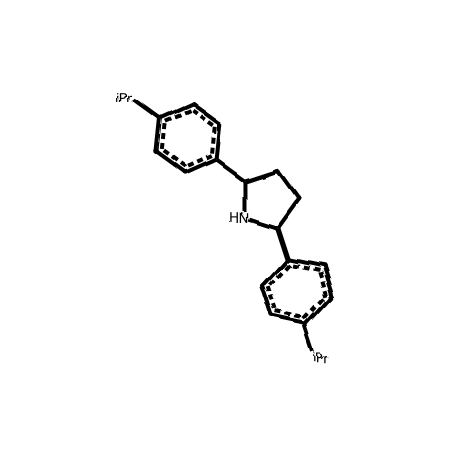 CC(C)c1ccc(C2CCC(c3ccc(C(C)C)cc3)N2)cc1